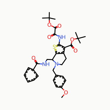 COc1ccc(CN2CCc3c(sc(NC(=O)C(=O)OC(C)(C)C)c3C(=O)OC(C)(C)C)C2CNC(=O)c2ccccc2)cc1